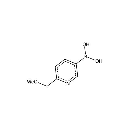 COCc1ccc(B(O)O)cn1